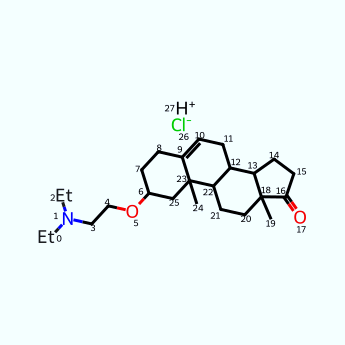 CCN(CC)CCOC1CCC2=CCC3C4CCC(=O)C4(C)CCC3C2(C)C1.[Cl-].[H+]